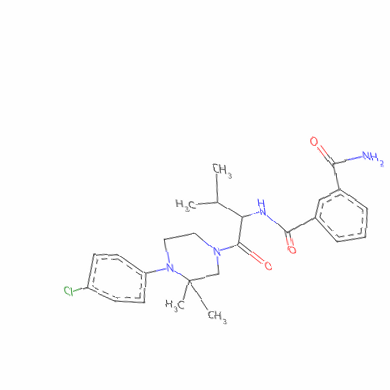 CC(C)C(NC(=O)c1cccc(C(N)=O)c1)C(=O)N1CCN(c2ccc(Cl)cc2)C(C)(C)C1